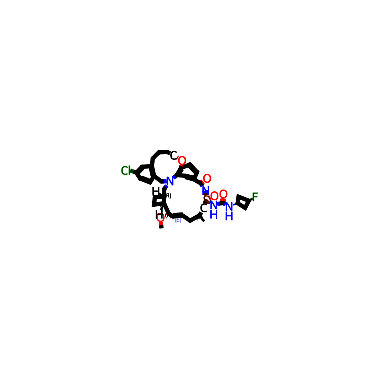 CO[C@H]1/C=C/C[C@H](C)CS(=O)(NC(=O)N[C@H]2C[C@H](F)C2)=NC(=O)c2ccc3c(c2)N(Cc2ccc(Cl)cc2CCCCO3)C[C@@H]2CC[C@H]21